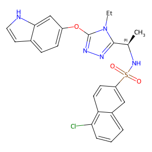 CCn1c(Oc2ccc3cc[nH]c3c2)nnc1[C@@H](C)NS(=O)(=O)c1ccc2c(Cl)cccc2c1